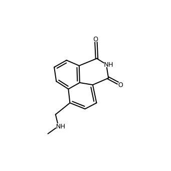 CNCc1ccc2c3c(cccc13)C(=O)NC2=O